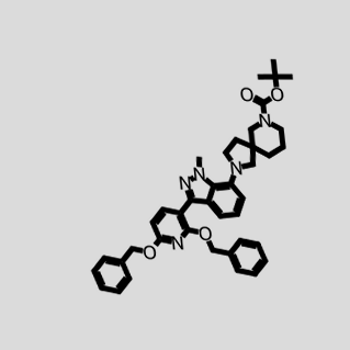 Cn1nc(-c2ccc(OCc3ccccc3)nc2OCc2ccccc2)c2cccc(N3CCC4(CCCN(C(=O)OC(C)(C)C)C4)C3)c21